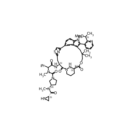 CCn1c(-c2cccnc2[C@H](C)OC)c2c3cc(ccc31)-c1csc(n1)C[C@H](NC(=O)C(C(C)C)N(C)C(=O)N1CC[C@@H](N(C)C(=O)[C@@H]3CN3)C1)C(=O)N1CCC[C@H](N1)C(=O)OCC(C)(C)C2